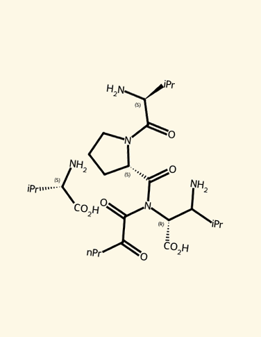 CC(C)[C@H](N)C(=O)O.CCCC(=O)C(=O)N(C(=O)[C@@H]1CCCN1C(=O)[C@@H](N)C(C)C)[C@@H](C(=O)O)C(N)C(C)C